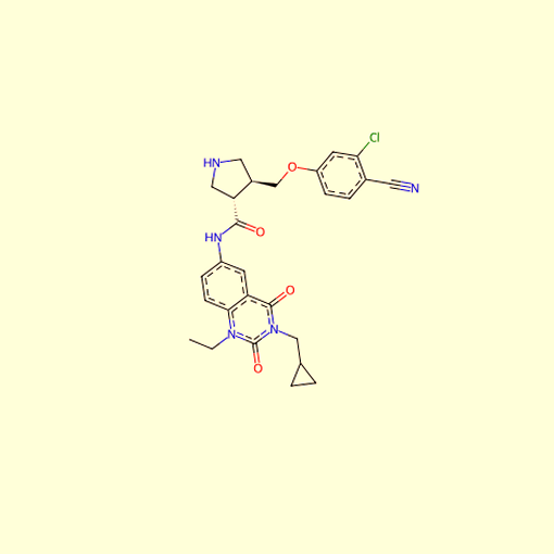 CCn1c(=O)n(CC2CC2)c(=O)c2cc(NC(=O)[C@@H]3CNC[C@H]3COc3ccc(C#N)c(Cl)c3)ccc21